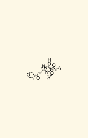 CC1COCCN1C(=O)C=Cc1cnn2c(O)c(C(=O)NC3CC3)c(=O)n(CC3(F)CC3)c12